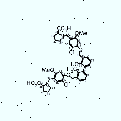 COc1nc(OCc2cccc(-c3cccc(COc4nc(OC)c(CN5CCC[C@H]5C(=O)O)cc4Cl)c3C)c2C)c(Cl)cc1CN1CCC[C@H]1C(=O)O